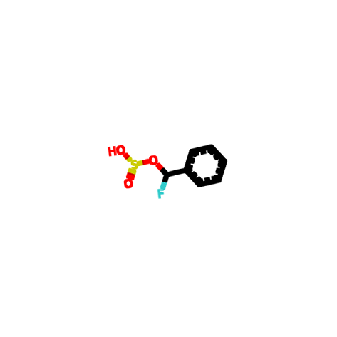 O=S(O)OC(F)c1ccccc1